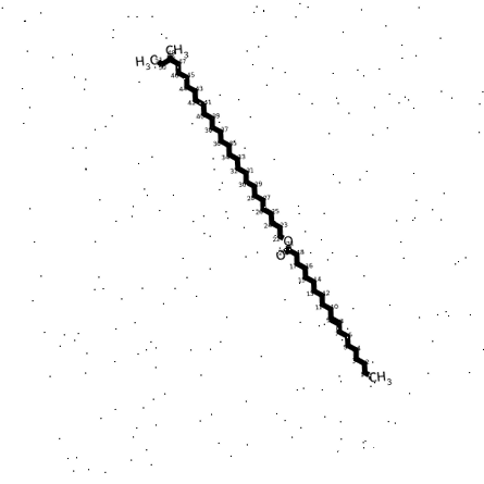 CCCCCCCCC=CCCCCCCCCCC(=O)OCCCCCCCCCCCCCCCCCCCCCCCCCCC(C)CC